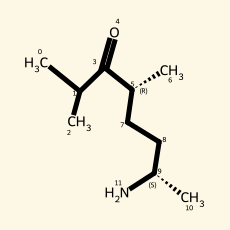 CC(C)C(=O)[C@H](C)CC[C@H](C)N